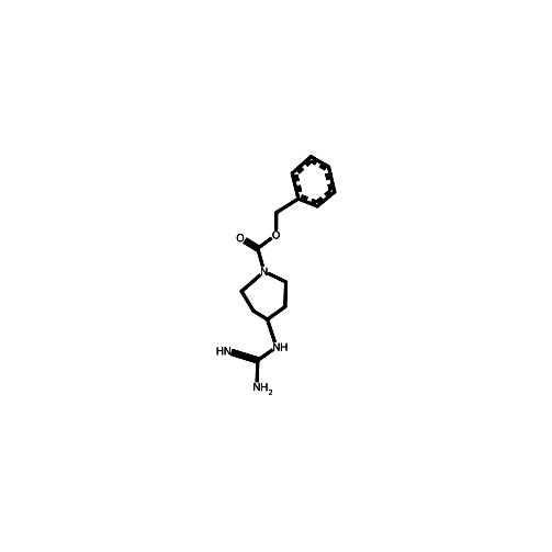 N=C(N)NC1CCN(C(=O)OCc2ccccc2)CC1